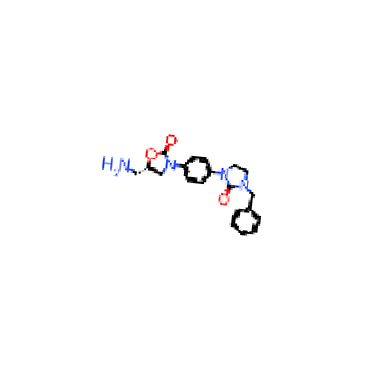 NC[C@H]1CN(c2ccc(N3CCN(Cc4ccccc4)C3=O)cc2)C(=O)O1